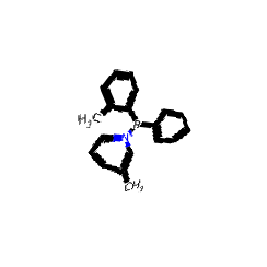 Cc1ccc[n+](B(c2ccccc2)c2ccccc2C)c1